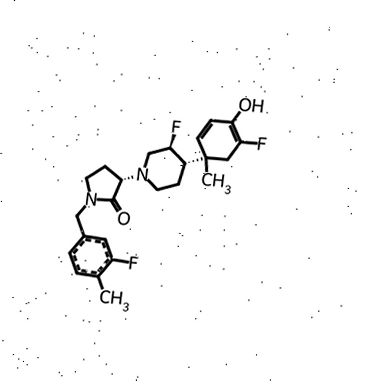 Cc1ccc(CN2CC[C@H](N3CC[C@@H](C4(C)C=CC(O)=C(F)C4)[C@H](F)C3)C2=O)cc1F